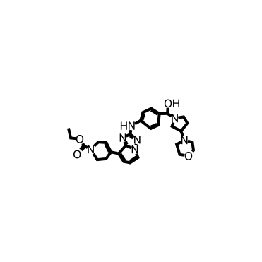 CCOC(=O)N1CC=C(c2cccn3nc(Nc4ccc(C(O)N5CCC(N6CCOCC6)C5)cc4)nc23)CC1